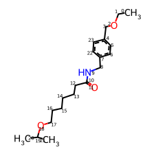 CCOCc1ccc(CNC(=O)CCCCCCOC(C)C)cc1